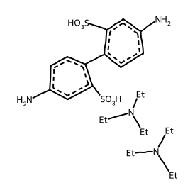 CCN(CC)CC.CCN(CC)CC.Nc1ccc(-c2ccc(N)cc2S(=O)(=O)O)c(S(=O)(=O)O)c1